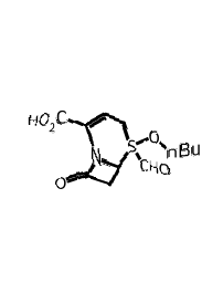 CCCCOS1(C=O)CC=C(C(=O)O)N2C(=O)CC21